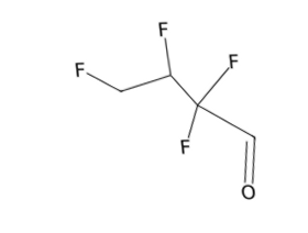 O=CC(F)(F)C(F)CF